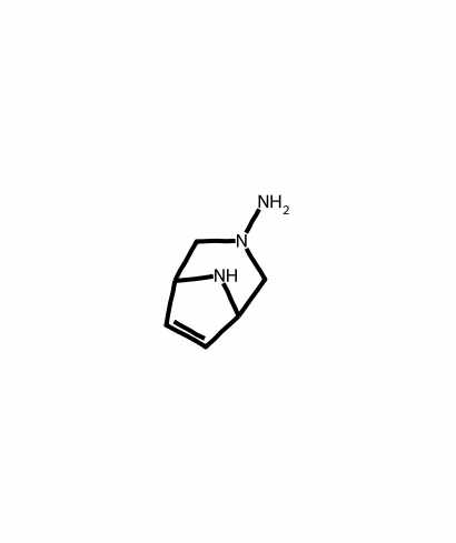 NN1CC2C=CC(C1)N2